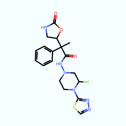 CC(C(=O)NN1CCN(c2nncs2)C(F)C1)(c1ccccc1)C1CNC(=O)O1